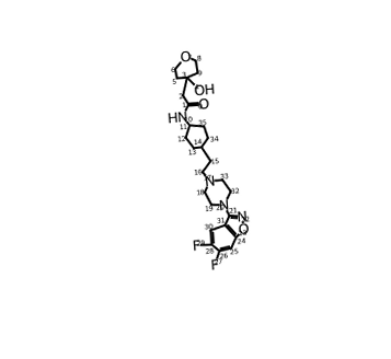 O=C(CC1(O)CCOCC1)NC1CCC(CCN2CCN(c3noc4cc(F)c(F)cc34)CC2)CC1